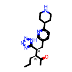 CCC[C@H](C(C)=O)[C@H](Cc1ccc(C2CCNCC2)nc1)c1nnn[nH]1